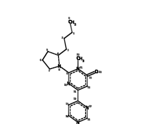 CCCCC1CCCN1c1nc(-c2ccncn2)cc(=O)n1C